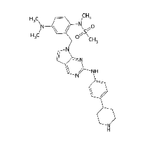 CN(C)c1ccc(N(C)S(C)(=O)=O)c(Cn2ccc3cnc(Nc4ccc(C5CCNCC5)cc4)nc32)c1